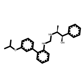 CC(C)Oc1cccc(-c2ccccc2PCN[C@@H](C)[C@H](O)c2ccccc2)c1